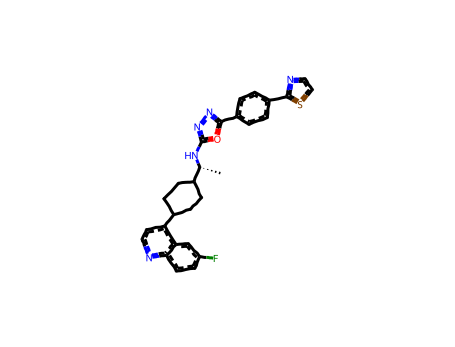 C[C@@H](Nc1nnc(-c2ccc(-c3nccs3)cc2)o1)C1CCC(c2ccnc3ccc(F)cc23)CC1